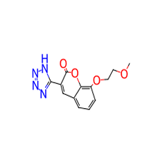 COCCOc1cccc2cc(-c3nnn[nH]3)c(=O)oc12